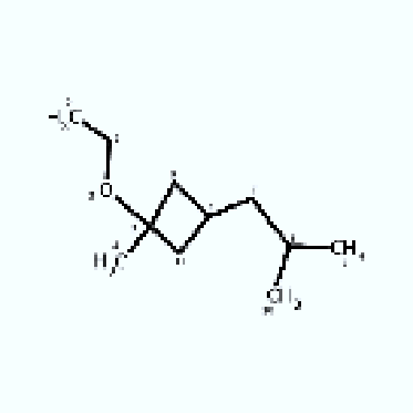 CCOC1(C)CC(CC(C)C)C1